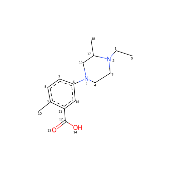 CCN1CCN(c2ccc(C)c(C(=O)O)c2)CC1C